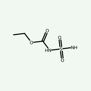 CCOC(=O)NS([NH])(=O)=O